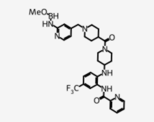 COBNc1cc(CN2CCC(C(=O)N3CCC(Nc4ccc(C(F)(F)F)cc4NC(=O)c4ccccn4)CC3)CC2)ccn1